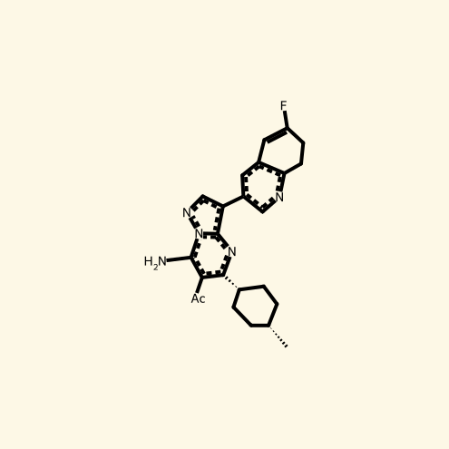 CC(=O)c1c(N)n2ncc(-c3cnc4c(c3)C=C(F)CC4)c2nc1[C@H]1CC[C@@H](C)CC1